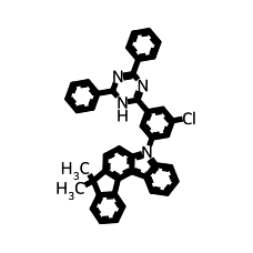 CC1(C)c2ccccc2-c2c1ccc1c2c2ccccc2n1-c1cc(Cl)cc(C2=NC(c3ccccc3)=NC(c3ccccc3)N2)c1